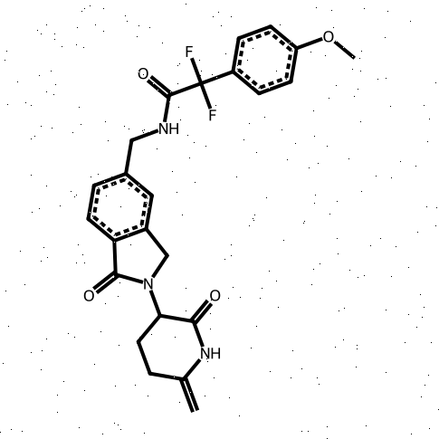 C=C1CCC(N2Cc3cc(CNC(=O)C(F)(F)c4ccc(OC)cc4)ccc3C2=O)C(=O)N1